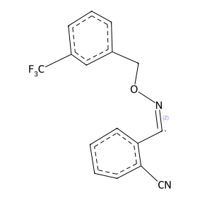 N#Cc1ccccc1/[C]=N\OCc1cccc(C(F)(F)F)c1